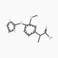 COc1cc(C(C)C(=O)O)ccc1Oc1nccs1